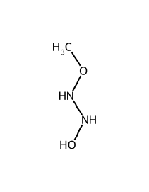 CONNO